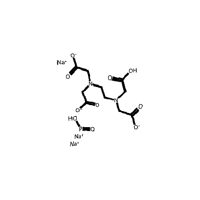 O=C([O-])CN(CCN(CC(=O)[O-])CC(=O)O)CC(=O)[O-].O=PO.[Na+].[Na+].[Na+]